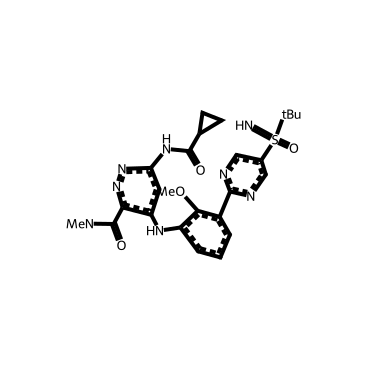 CNC(=O)c1nnc(NC(=O)C2CC2)cc1Nc1cccc(-c2ncc(S(=N)(=O)C(C)(C)C)cn2)c1OC